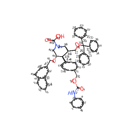 O=C(Nc1ccccc1)OCc1ccc(C2C(COC(c3ccccc3)(c3ccccc3)c3ccccc3)CN(C(=O)O)CC2OCc2ccc3ccccc3c2)cc1